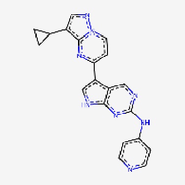 c1cc(Nc2ncc3c(-c4ccn5ncc(C6CC6)c5n4)c[nH]c3n2)ccn1